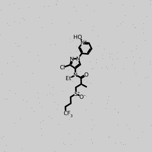 CCN(C(=O)C(C)C[S+]([O-])CCCC(F)(F)F)c1cn(-c2ccc[n+](O)c2)nc1Cl